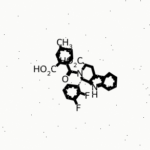 Cc1ccc(C(=O)N2[C@@H](c3cccc(F)c3F)c3[nH]c4ccccc4c3C[C@H]2C(=O)O)c(C(=O)O)c1